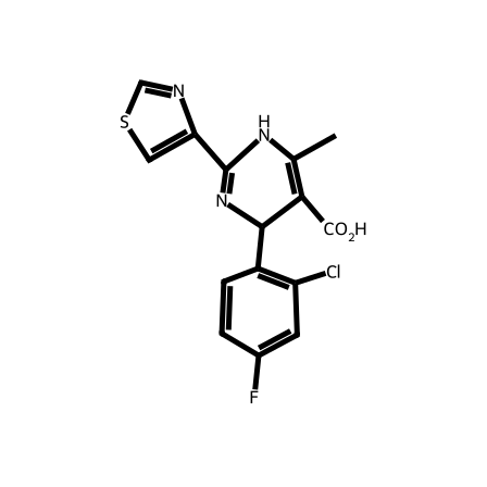 CC1=C(C(=O)O)C(c2ccc(F)cc2Cl)N=C(c2cscn2)N1